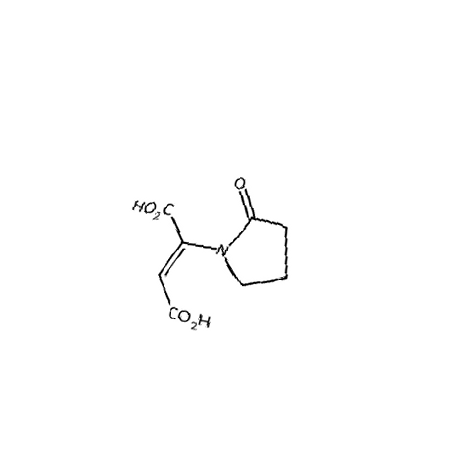 O=C(O)/C=C(/C(=O)O)N1CCCC1=O